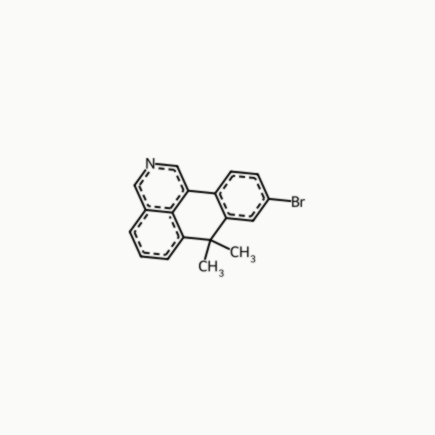 CC1(C)c2cc(Br)ccc2-c2cncc3cccc1c23